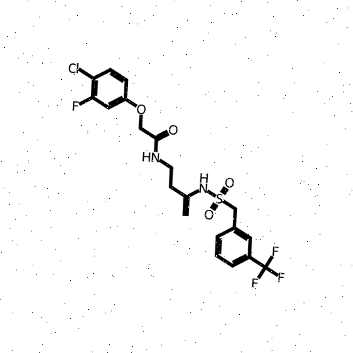 C=C(CCNC(=O)COc1ccc(Cl)c(F)c1)NS(=O)(=O)Cc1cccc(C(F)(F)F)c1